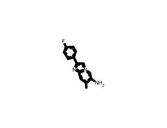 Cc1cc2nc(-c3ccc(F)cc3)cn2cc1N